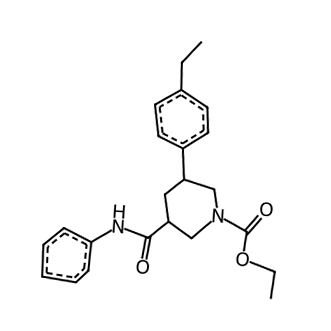 CCOC(=O)N1CC(C(=O)Nc2ccccc2)CC(c2ccc(CC)cc2)C1